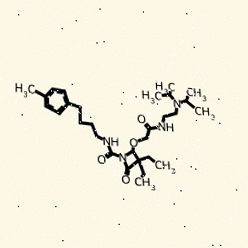 CCC1(CC)C(=O)N(C(=O)NCCCCc2ccc(C)cc2)C1OCC(=O)NCCN(C(C)C)C(C)C